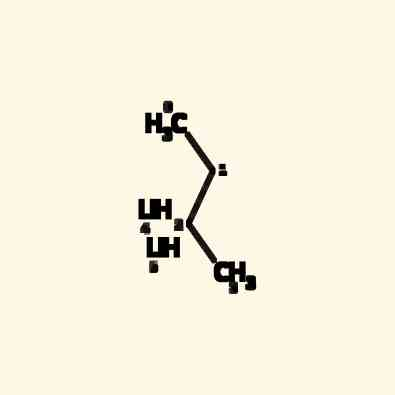 CCCC.[LiH].[LiH]